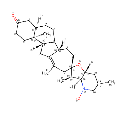 CC1=C2C[C@H]3C(CC[C@@H]4CC(=O)CC[C@@]43C)[C@@H]2CC[C@@]2(C1)O[C@@H]1C[C@H](C)CN(O)[C@H]1[C@H]2C